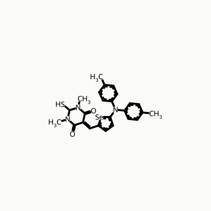 Cc1ccc(N(c2ccc(C)cc2)c2ccc(C=C3C(=O)N(C)C(S)N(C)C3=O)[se]2)cc1